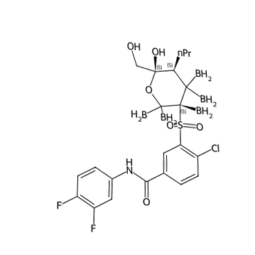 BC1(B)O[C@](O)(CO)[C@@H](CCC)C(B)(B)[C@]1(B)S(=O)(=O)c1cc(C(=O)Nc2ccc(F)c(F)c2)ccc1Cl